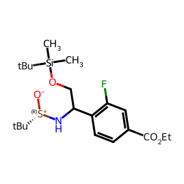 CCOC(=O)c1ccc(C(CO[Si](C)(C)C(C)(C)C)N[S@@+]([O-])C(C)(C)C)c(F)c1